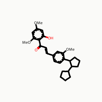 COc1cc(O)c(C(=O)/C=C/c2ccc(C3CCCC3C3CCCC3)c(OC)c2)c(OC)c1